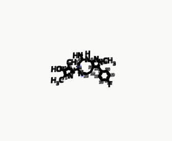 Cc1nn(C2=C/C(=N)Nc3nn(C)c(-c4ccc(F)cc4)c3C/C=N\2)c(C)c1O